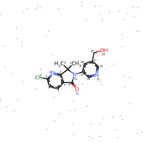 CC1(C)c2nc(Cl)ccc2C(=O)N1c1cncc(CO)c1